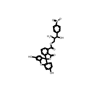 NC(COC(=O)c1cccc2c1C(=O)OC21c2ccc(O)cc2Oc2cc(O)ccc21)C(O)c1ccc([N+](=O)[O-])cc1